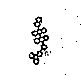 C[Si]1(C)c2ccc(-c3c4ccccc4c(-c4c5ccccc5c(-c5ccc6ccccc6c5)c5ccccc45)c4ccccc34)cc2-c2cc3c4ccccc4c4ccccc4c3cc21